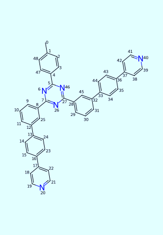 Cc1ccc(-c2nc(-c3cccc(-c4ccc(-c5ccncc5)cc4)c3)nc(-c3cccc(-c4ccc(-c5ccncc5)cc4)c3)n2)cc1